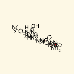 Cc1ncsc1-c1ccc(CNC(=O)[C@@H]2C[C@@H](O)CN2C(=O)[C@@H](NC(=O)CN2CCN(C3CCC(c4cnc(N5C6CCC5CN(c5cc(-c7ccccc7O)nnc5N)C6)nc4)CC3)CC2)C(C)(C)C)cc1